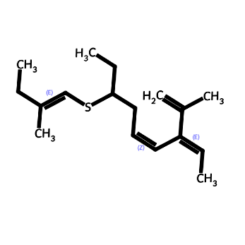 C=C(C)C(/C=C\CC(CC)S/C=C(\C)CC)=C/C